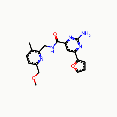 COCc1ccc(C)c(CNC(=O)c2cc(-c3ccco3)nc(N)n2)n1